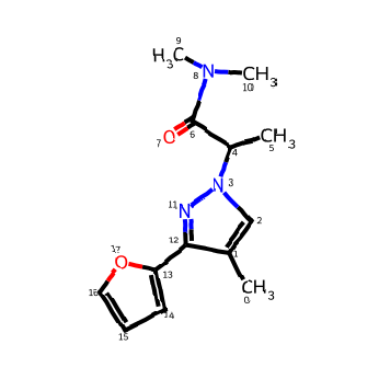 Cc1cn(C(C)C(=O)N(C)C)nc1-c1ccco1